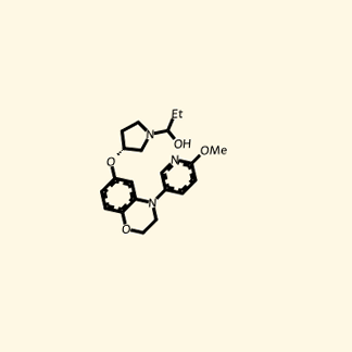 CCC(O)N1CC[C@@H](Oc2ccc3c(c2)N(c2ccc(OC)nc2)CCO3)C1